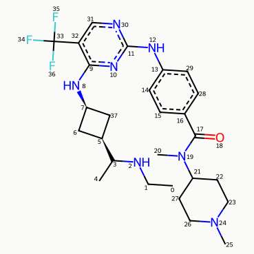 CCNC(C)[C@H]1C[C@@H](Nc2nc(Nc3ccc(C(=O)N(C)C4CCN(C)CC4)cc3)ncc2C(F)(F)F)C1